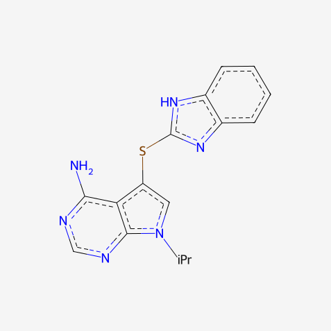 CC(C)n1cc(Sc2nc3ccccc3[nH]2)c2c(N)ncnc21